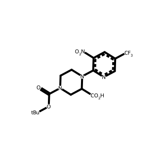 CC(C)(C)OC(=O)N1CCN(c2ncc(C(F)(F)F)cc2[N+](=O)[O-])C(C(=O)O)C1